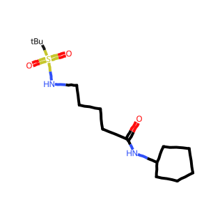 CC(C)(C)S(=O)(=O)NCCCCC(=O)NC1CCCCC1